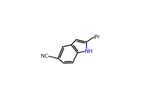 CC(C)c1cc2cc(C#N)ccc2[nH]1